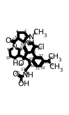 CNC1CCC(C(=O)N2CCCC(C(O)(CCCNC(=O)O)c3cncc(Cl)c3-c3cccc(C(C)C)c3)C2)C1